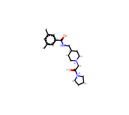 Cc1cc(C)cc(C(=O)NCC2CCN(CC(=O)N3CCCC3)CC2)c1